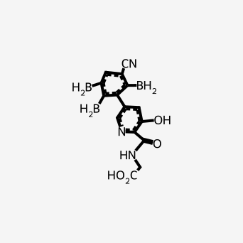 Bc1cc(C#N)c(B)c(-c2cnc(C(=O)NCC(=O)O)c(O)c2)c1B